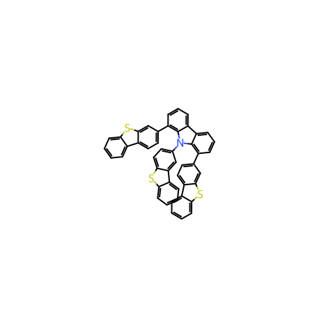 c1ccc2c(c1)sc1cc(-c3cccc4c5cccc(-c6ccc7c(c6)sc6ccccc67)c5n(-c5ccc6sc7ccccc7c6c5)c34)ccc12